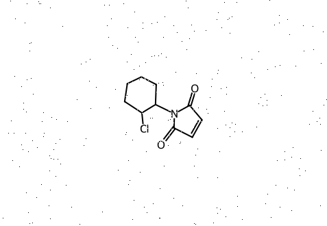 O=C1C=CC(=O)N1C1CCCCC1Cl